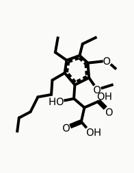 CCCCCCc1c(CC)c(CC)c(OC)c(OC)c1C(O)C(C(=O)O)C(=O)O